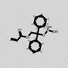 C=CC(=O)OCC(OP(O)O)(c1ccccc1)c1ccccc1